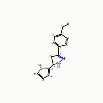 CCc1ccc(C2=NNC(c3cccs3)C2)cc1